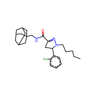 CCCCCN1N=C(C(=O)NCC23CC4CC(CC(C4)C2)C3)CC1c1ccccc1F